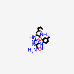 Cc1ccc(Nc2nc(N[C@H](Cc3cccs3)C(N)=O)nnc2C(N)=O)cc1